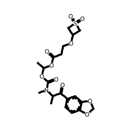 CC(OC(=O)CCOC1CS(=O)(=O)C1)OC(=O)N(C)C(C)C(=O)c1ccc2c(c1)OCO2